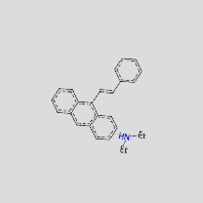 C(=Cc1c2ccccc2cc2ccccc12)c1ccccc1.CCNCC